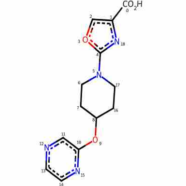 O=C(O)c1coc(N2CCC(Oc3cnccn3)CC2)n1